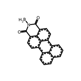 BN1C(=O)c2ccc3c4cccc5cccc(c6ccc(c2c36)C1=O)c54